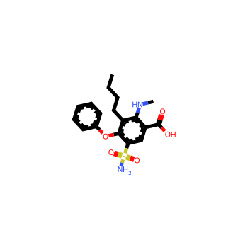 CCCCc1c(NC)c(C(=O)O)cc(S(N)(=O)=O)c1Oc1ccccc1